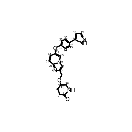 O=C1CC[C@@H](OCc2cn3cc(Oc4ccc(-c5ccn[nH]5)cc4)ccc3n2)CN1